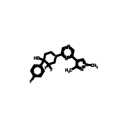 Cc1nn(C)cc1-c1cncc(N2CCC(O)(c3ccc(F)cc3)C(F)(F)C2)n1